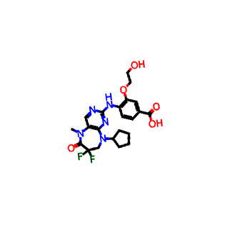 CN1C(=O)C(F)(F)CN(C2CCCC2)c2nc(Nc3ccc(C(=O)O)cc3OCCO)ncc21